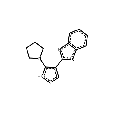 c1ccc2sc(-c3cn[nH]c3N3CCCC3)nc2c1